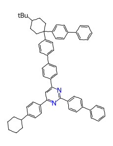 CC(C)(C)C1CCC(c2ccc(-c3ccccc3)cc2)(c2ccc(-c3ccc(-c4cc(-c5ccc(C6CCCCC6)cc5)nc(-c5ccc(-c6ccccc6)cc5)n4)cc3)cc2)CC1